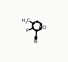 Cc1cccc(C#N)c1F.Cl